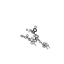 CC(NC(=O)c1cn(COCC[Si](C)(C)C)c2ncc(-c3nn(C)c4cc(Cl)ccc34)nc12)C1CN(C(=O)OC(C)(C)C)C1